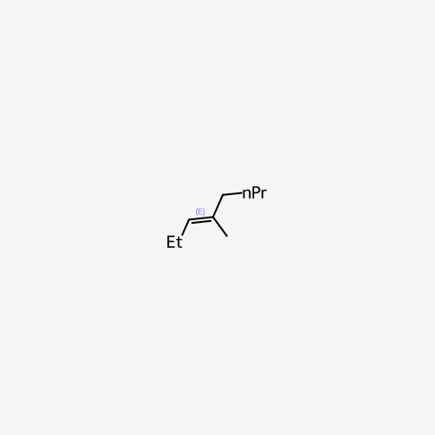 [CH2]C/C=C(\C)CCCC